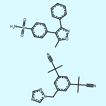 CC(C)(C#N)c1cc(Cn2cncn2)cc(C(C)(C)C#N)c1.Cc1onc(-c2ccccc2)c1-c1ccc(S(N)(=O)=O)cc1